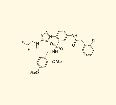 COc1ccc(CNS(=O)(=O)c2cc(NC(=O)Cc3ccccc3Cl)ccc2-n2cc(NCC(F)F)cn2)c(OC)c1